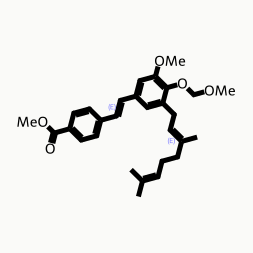 COCOc1c(C/C=C(\C)CCC=C(C)C)cc(/C=C/c2ccc(C(=O)OC)cc2)cc1OC